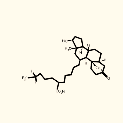 C[C@]12CCC(=O)C[C@@H]1CC[C@@H]1[C@@H]2[C@@H](CCCCCC(CCCC(F)(F)C(F)(F)F)C(=O)O)C[C@]2(C)[C@@H](O)CC[C@@H]12